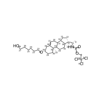 C[C@H](NC(=O)OCC(Cl)(Cl)Cl)[C@H]1CCC2C3CC=C4C[C@@H](OCCCCCCO)CC[C@]4(C)C3CC[C@@]21C